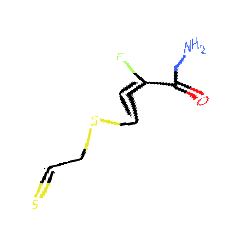 NC(=O)C(F)=CSC[C]=S